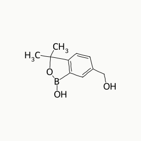 CC1(C)OB(O)c2cc(CO)ccc21